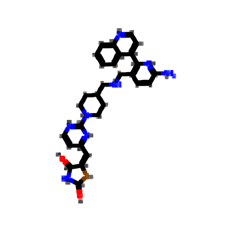 Nc1ccc(CNCC2CCN(c3nccc(C=C4SC(=O)NC4=O)n3)CC2)c(-c2ccnc3ccccc23)n1